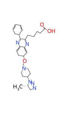 C[C@H]1CN=NN1C1CCN(COC2C=c3nc(CCCCC(=O)O)c(C4C=CC=CC4)nc3=CC2)CC1